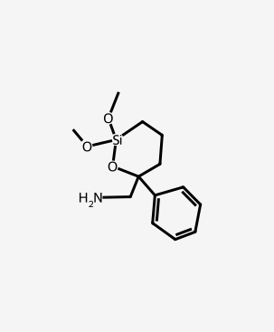 CO[Si]1(OC)CCCC(CN)(c2ccccc2)O1